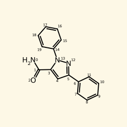 NC(=O)c1cc(-c2ccccc2)nn1-c1ccccc1